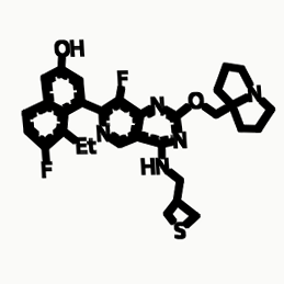 CCc1c(F)ccc2cc(O)cc(-c3ncc4c(NCC5CSC5)nc(OCC56CCCN5CCC6)nc4c3F)c12